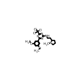 COc1cc(OC)cc(-c2nc(NCCC3CCCN3C)nc(C(Cl)(Cl)Cl)n2)c1